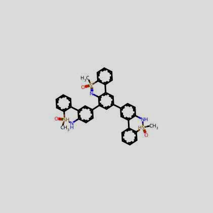 CS1(=O)=Nc2c(-c3ccc4c(c3)-c3ccccc3[SH](C)(=O)N4)cc(-c3ccc4c(c3)-c3ccccc3[SH](C)(=O)N4)cc2-c2ccccc21